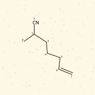 [CH2]C(C#N)CCCC=C